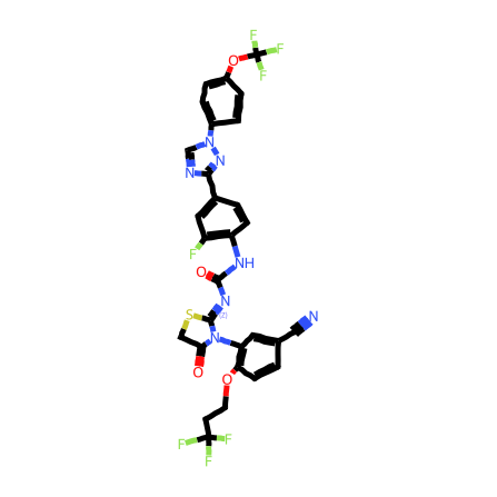 N#Cc1ccc(OCCC(F)(F)F)c(N2C(=O)CS/C2=N\C(=O)Nc2ccc(-c3ncn(-c4ccc(OC(F)(F)F)cc4)n3)cc2F)c1